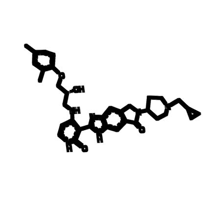 Cc1ccc(OC[C@H](O)CNc2cc[nH]c(=O)c2-c2nc3cc4c(cc3[nH]2)C(=O)N(C2CCN(CC3CC3)CC2)C4)c(C)c1